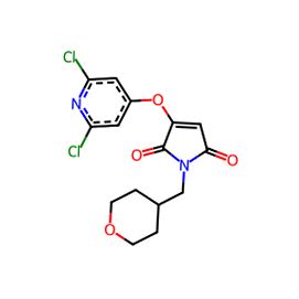 O=C1C=C(Oc2cc(Cl)nc(Cl)c2)C(=O)N1CC1CCOCC1